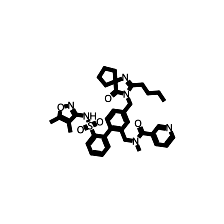 CCCCC1=NC2(CCCC2)C(=O)N1Cc1ccc(-c2ccccc2S(=O)(=O)Nc2noc(C)c2C)c(CN(C)C(=O)c2cccnc2)c1